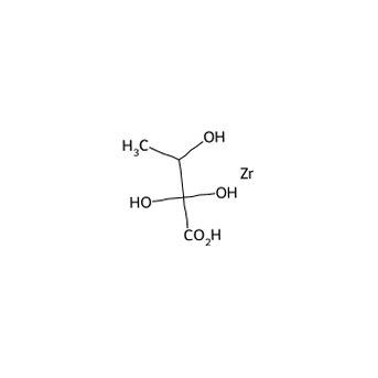 CC(O)C(O)(O)C(=O)O.[Zr]